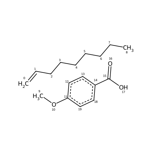 C=CCCCCCCC.COc1ccc(C(=O)O)cc1